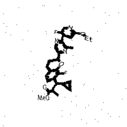 CCOc1cc(-c2ncc(C3CCc4ccc(C(C5CC5)C(C)C(=O)OC)c(F)c4O3)nc2C)c(F)cn1